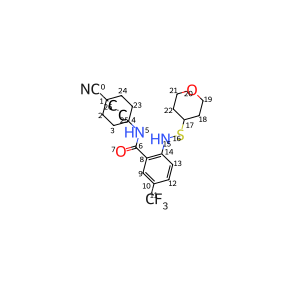 N#CC12CCC(NC(=O)c3cc(C(F)(F)F)ccc3NSC3CCOCC3)(CC1)CC2